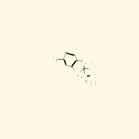 Nc1ccc2c(c1)SC(Cl)(S(=O)(=O)O)N2